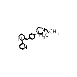 CC(C)CN1CCCN(c2ccc(/C=C3\CCCN=C3c3cccnc3)cc2)CC1